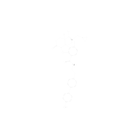 O=C(NCCc1ccc(-c2ccc(O)cc2)cc1)c1ccc2c3c1OC1C(=O)CC[C@H]4[C@@H](C2)N(CC2CC2)CC[C@]314